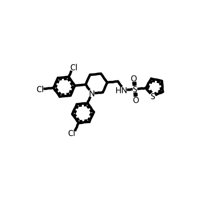 O=S(=O)(NCC1CCC(c2ccc(Cl)cc2Cl)N(c2ccc(Cl)cc2)C1)c1cccs1